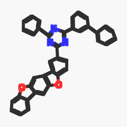 c1ccc(-c2cccc(-c3nc(-c4ccccc4)nc(-c4ccc5oc6cc7c(cc6c5c4)oc4ccccc47)n3)c2)cc1